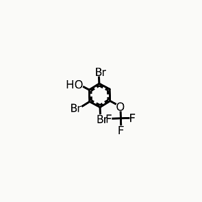 Oc1c(Br)cc(OC(F)(F)F)c(Br)c1Br